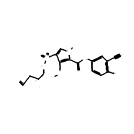 C=CC[C@@H](O)[C@H]1COc2c(cn(C)c2C(=O)Nc2ccc(F)c(C#N)c2)S(=O)(=O)N1